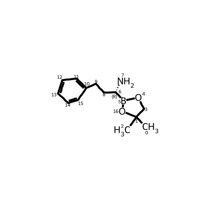 CC1(C)COB([C@@H](N)CCc2ccccc2)O1